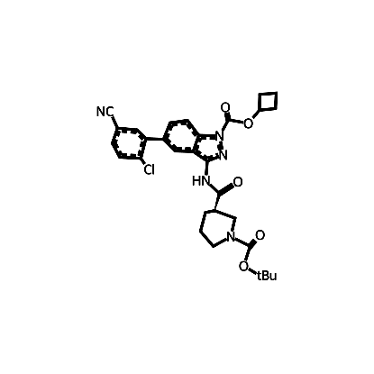 CC(C)(C)OC(=O)N1CCC[C@@H](C(=O)Nc2nn(C(=O)OC3CCC3)c3ccc(-c4cc(C#N)ccc4Cl)cc23)C1